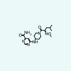 CON=C(CC(C)C)C(=O)N1CCC(Nc2cc(C(N)=O)ncn2)CC1